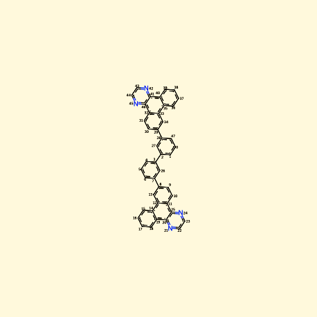 c1cc(-c2cccc(-c3ccc4c(c3)c3ccccc3c3nccnc43)c2)cc(-c2ccc3c(c2)c2ccccc2c2nccnc32)c1